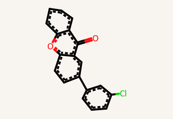 O=c1c2ccccc2oc2ccc(-c3cccc(Cl)c3)cc12